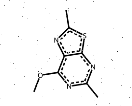 [C]c1nc2c(OC)nc(C)nc2s1